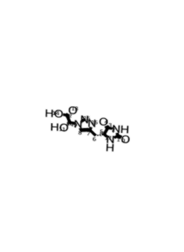 O=C1NC(=O)[C@@H](Cc2cn([C@H](O)C(=O)O)nn2)N1